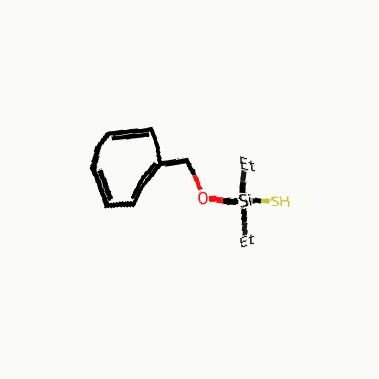 CC[Si](S)(CC)OCc1ccccc1